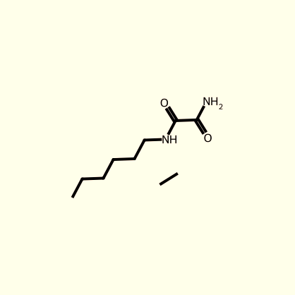 CC.CCCCCCNC(=O)C(N)=O